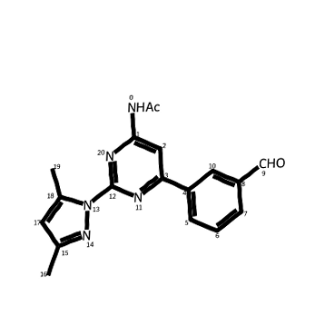 CC(=O)Nc1cc(-c2cccc(C=O)c2)nc(-n2nc(C)cc2C)n1